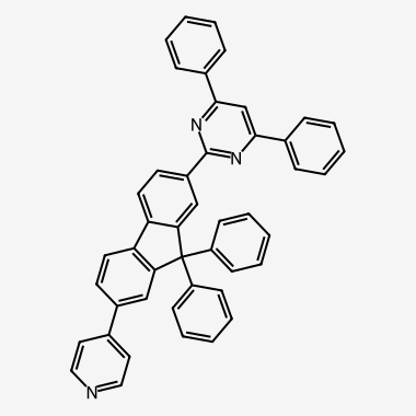 c1ccc(-c2cc(-c3ccccc3)nc(-c3ccc4c(c3)C(c3ccccc3)(c3ccccc3)c3cc(-c5ccncc5)ccc3-4)n2)cc1